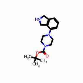 CC(C)(C)OC(=O)N1CCN(c2cccc3c2CNC3)CC1